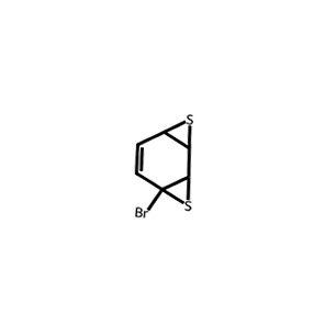 BrC12C=CC3SC3C1S2